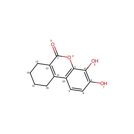 O=c1oc2c(O)c(O)ccc2c2c1CCCC2